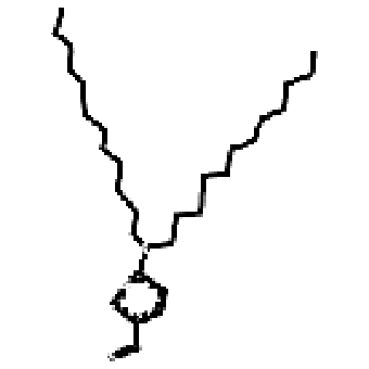 CCCCCCCCCCCCN(CCCCCCCCCCCC)c1ccc(C=O)cc1